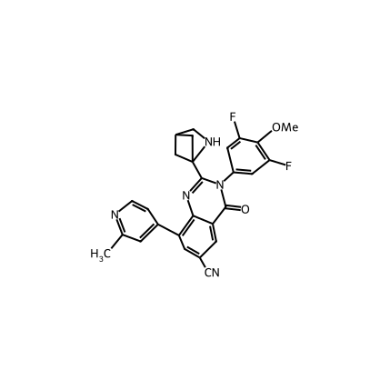 COc1c(F)cc(-n2c(C34CC(CN3)C4)nc3c(-c4ccnc(C)c4)cc(C#N)cc3c2=O)cc1F